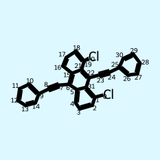 Clc1cccc2c(C#Cc3ccccc3)c3cccc(Cl)c3c(C#Cc3ccccc3)c12